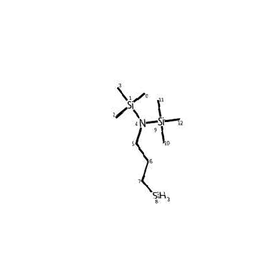 C[Si](C)(C)N(CCC[SiH3])[Si](C)(C)C